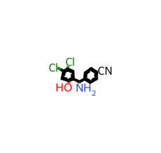 N#Cc1ccc(C(N)c2cc(Cl)c(Cl)cc2O)cc1